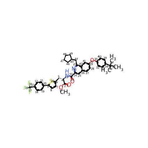 COC(=O)[C@H](Cc1ccc(-c2ccc(C(F)(F)F)cc2)s1)NC(=O)c1cc2ccc(Oc3ccc(C(C)(C)C)cc3)cc2c(CC2CCCC2)n1